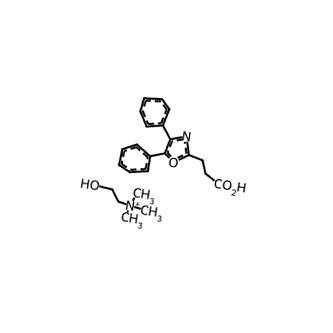 C[N+](C)(C)CCO.O=C(O)CCc1nc(-c2ccccc2)c(-c2ccccc2)o1